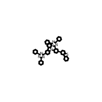 c1ccc(-c2nc(-c3ccccc3)nc(-c3ccc4c(c3)c3ccccc3n4-c3ccc(-c4ccc5sc6ccccc6c5c4)cc3-c3nc(-c4ccccc4)nc(-c4ccccc4)n3)n2)cc1